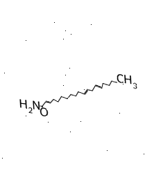 CCCCCC=CCC=CCCCCCCCC=CC(N)=O